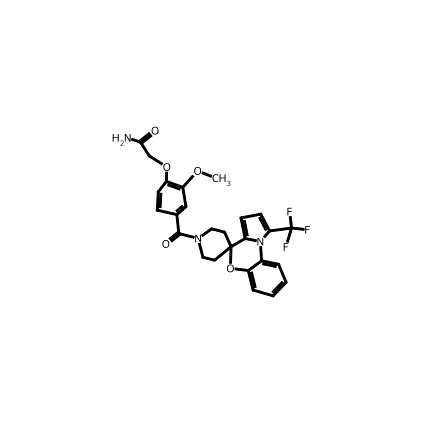 COc1cc(C(=O)N2CCC3(CC2)Oc2ccccc2-n2c(C(F)(F)F)ccc23)ccc1OCC(N)=O